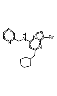 Brc1ccn2c(NCc3ccccn3)cc(CC3CCCCC3)nc12